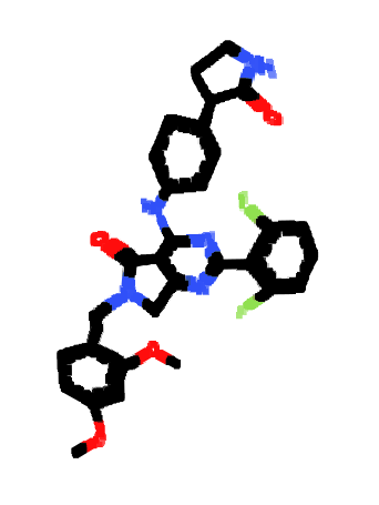 COc1ccc(CN2Cc3nc(-c4c(F)cccc4F)nc(Nc4ccc(C5CCNC5=O)cc4)c3C2=O)c(OC)c1